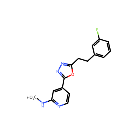 O=C(O)Nc1cc(-c2nnc(CCc3cccc(F)c3)o2)ccn1